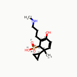 CNCCCC1=C(O)C=CC(C)(C2CC2)C1S(=O)(=O)O